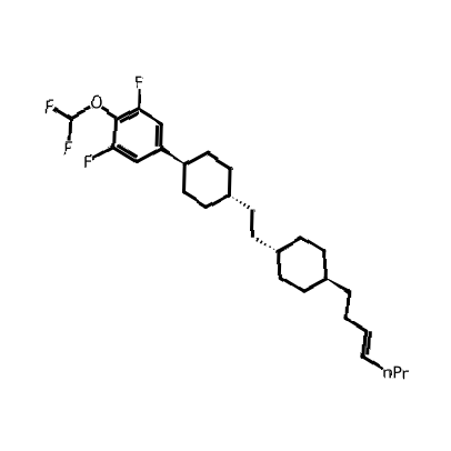 CCC/C=C/CC[C@H]1CC[C@H](CC[C@H]2CC[C@H](c3cc(F)c(OC(F)F)c(F)c3)CC2)CC1